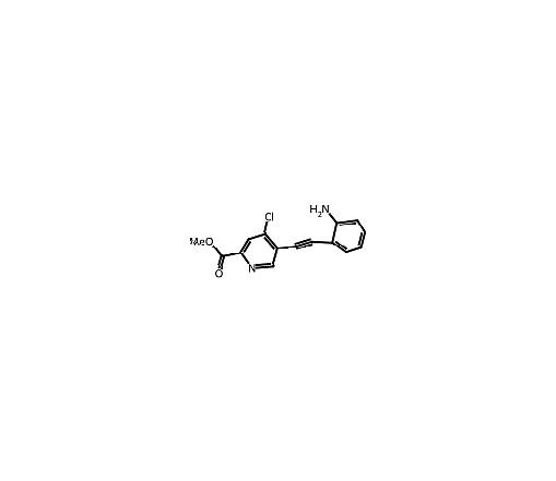 COC(=O)c1cc(Cl)c(C#Cc2ccccc2N)cn1